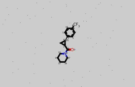 O=C(C1C[C@H]1c1ccc(C(F)(F)F)cc1)N1CCCCC1